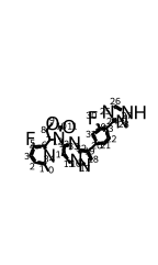 Cc1ccc(F)c(C2COC(=O)N2c2ccn3ncc(-c4ccc(-c5nc[nH]n5)c(F)c4)c3n2)n1